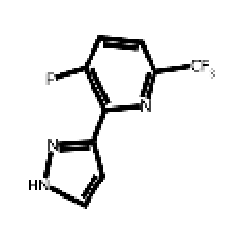 Fc1ccc(C(F)(F)F)nc1-c1cc[nH]n1